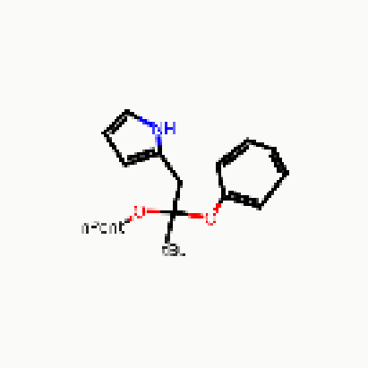 CCCCCOC(Cc1ccc[nH]1)(Oc1ccccc1)C(C)(C)C